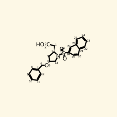 O=C(O)C[C@@H]1C[C@@H](OCc2ccccc2)CN1S(=O)(=O)c1ccc2ccccc2c1